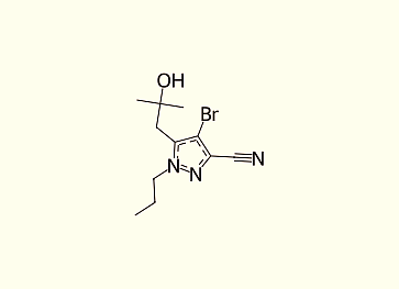 CCCn1nc(C#N)c(Br)c1CC(C)(C)O